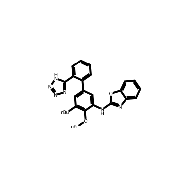 CCCCc1cc(-c2ccccc2-c2nnn[nH]2)cc(Nc2nc3ccccc3o2)c1OCCC